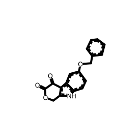 O=C1OCc2[nH]c3ccc(OCc4ccccc4)cc3c2C1=O